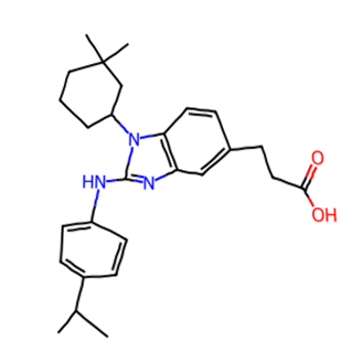 CC(C)c1ccc(Nc2nc3cc(CCC(=O)O)ccc3n2C2CCCC(C)(C)C2)cc1